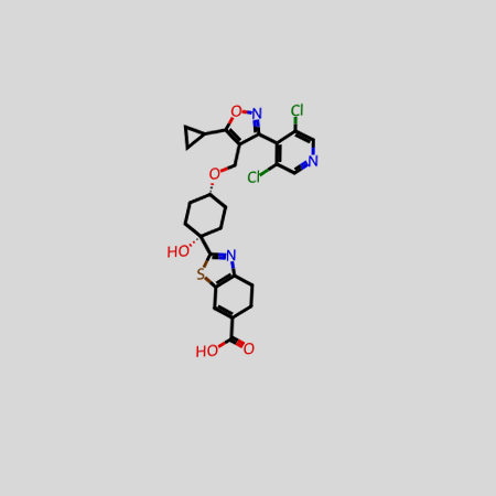 O=C(O)C1=Cc2sc([C@]3(O)CC[C@@H](OCc4c(-c5c(Cl)cncc5Cl)noc4C4CC4)CC3)nc2CC1